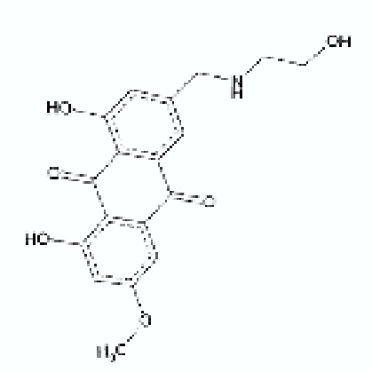 COc1cc(O)c2c(c1)C(=O)c1cc(CNCCO)cc(O)c1C2=O